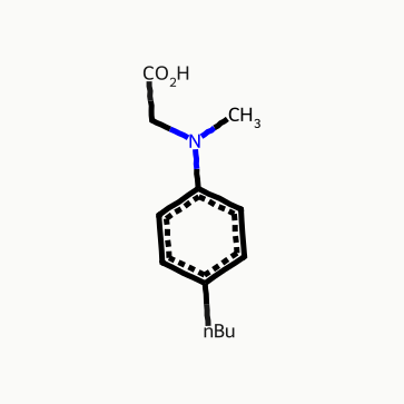 CCCCc1ccc(N(C)CC(=O)O)cc1